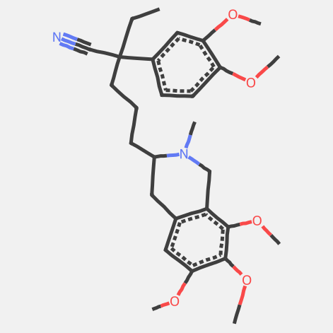 CCC(C#N)(CCCC1Cc2cc(OC)c(OC)c(OC)c2CN1C)c1ccc(OC)c(OC)c1